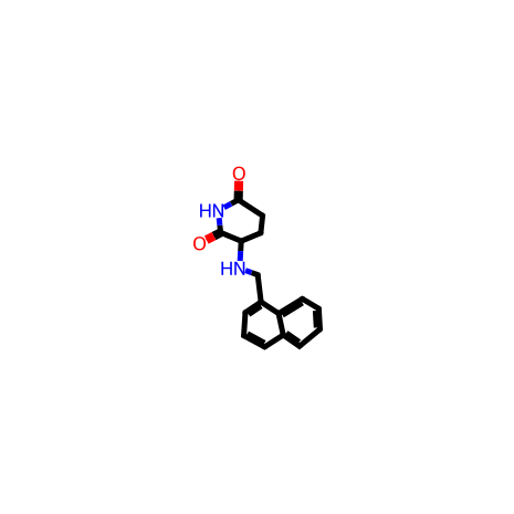 O=C1CCC(NCc2cccc3ccccc23)C(=O)N1